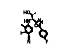 Cc1c(N[C@@H](c2nnc(-c3ccc(F)cc3)o2)[C@@H](C)O)ccc(C#N)c1I